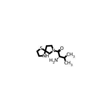 CC(C)[C@H](N)C(=O)N1CCC2(C1)NCCS2